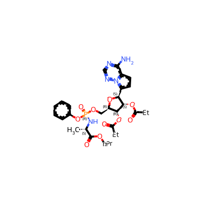 CCCOC(=O)[C@H](C)N[P@@](=O)(OC[C@H]1O[C@@H](c2ccc3c(N)ncnn23)[C@H](OC(=O)CC)[C@@H]1OC(=O)CC)Oc1ccccc1